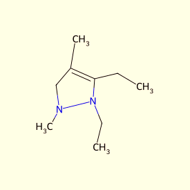 CCC1=C(C)CN(C)N1CC